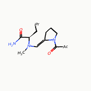 CC(=O)C(=O)N1CCC/C1=C\N(C)[C@H](CC(C)C)C(N)=O